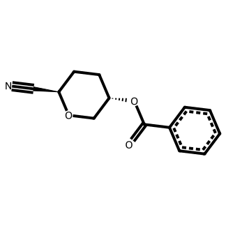 N#C[C@H]1CC[C@H](OC(=O)c2ccccc2)CO1